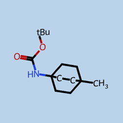 CC12CCC(NC(=O)OC(C)(C)C)(CC1)CC2